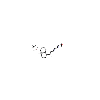 C[C@H](C/C=C/C=C/C(C)(C)O)[C@H]1CCC[C@H]2[C@@H](O[Si](C)(C)C(C)(C)C)CCC[C@@]12C